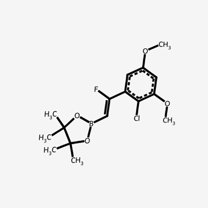 COc1cc(OC)c(Cl)c(/C(F)=C/B2OC(C)(C)C(C)(C)O2)c1